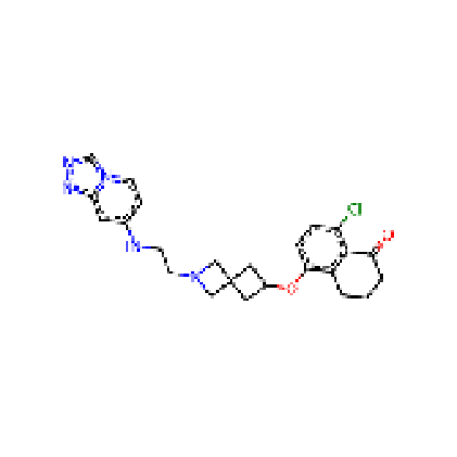 O=C1CCCc2c(OC3CC4(C3)CN(CCNc3ccn5cnnc5c3)C4)ccc(Cl)c21